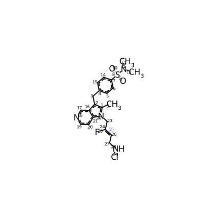 Cc1c(Cc2ccc(S(=O)(=O)N(C)C)cc2)c2cnccc2n1C/C(F)=C/CNCl